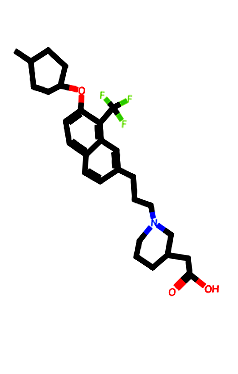 CC1CCC(Oc2ccc3ccc(CCCN4CCCC(CC(=O)O)C4)cc3c2C(F)(F)F)CC1